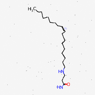 CCCCCCCC/C=C\CCCCCCCCN[CH]CC([NH])=O